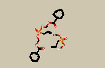 C=CCP(=O)(OCC)OCC.C=CCP(=O)(OCOC(=O)c1ccccc1)OCOC(=O)c1ccccc1